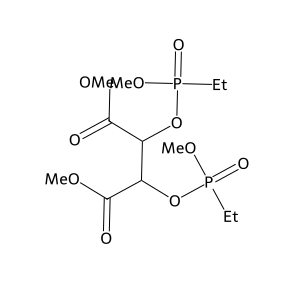 CCP(=O)(OC)OC(C(=O)OC)C(OP(=O)(CC)OC)C(=O)OC